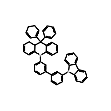 C1=CCC2C(=C1)N(c1cccc(-c3cccc(-n4c5ccccc5c5ccccc54)c3)c1)c1ccccc1C2(C1=CCCC=C1)c1ccccc1